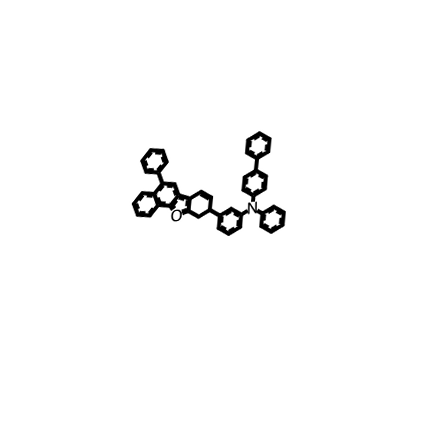 C1=CC(c2cccc(N(c3ccccc3)c3ccc(-c4ccccc4)cc3)c2)Cc2oc3c(cc(-c4ccccc4)c4ccccc43)c21